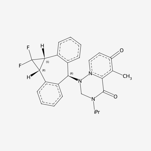 Cc1c2n(ccc1=O)N([C@@H]1c3ccccc3[C@@H]3[C@H](c4ccccc41)C3(F)F)CN(C(C)C)C2=O